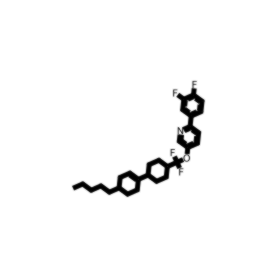 CCCCCC1CC=C(C2CCC(C(F)(F)Oc3ccc(-c4ccc(F)c(F)c4)nc3)CC2)CC1